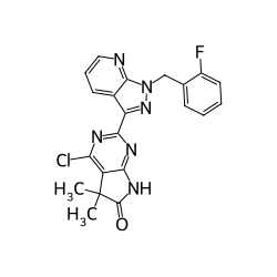 CC1(C)C(=O)Nc2nc(-c3nn(Cc4ccccc4F)c4ncccc34)nc(Cl)c21